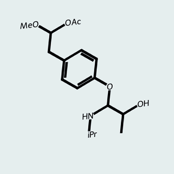 COC(Cc1ccc(OC(NC(C)C)C(C)O)cc1)OC(C)=O